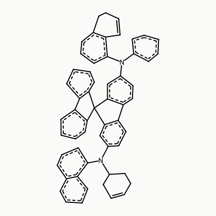 C1=Cc2c(cccc2N(c2ccccc2)c2ccc3c(c2)C2(c4ccccc4-c4ccccc42)c2cc(N(c4cccc5ccccc45)C4CC=CCC4)ccc2-3)CC1